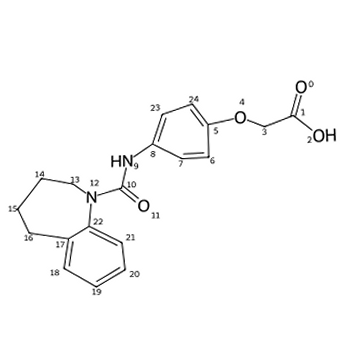 O=C(O)COc1ccc(NC(=O)N2CCCCc3ccccc32)cc1